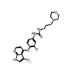 O=C(NCCCN1CCOCC1)Nc1ccc(Oc2ccnc3[nH]cc(C(F)(F)F)c23)c(Cl)c1